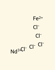 [Cl-].[Cl-].[Cl-].[Cl-].[Cl-].[Fe+2].[Nd+3]